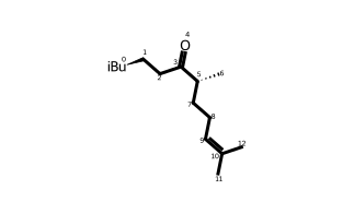 CC[C@H](C)CCC(=O)[C@H](C)CCC=C(C)C